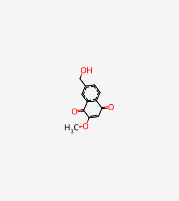 COC1=CC(=O)c2ccc(CO)cc2C1=O